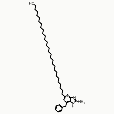 Nc1nc2nc(CCCCCCCCCCCCCCCCCCCCCCCCCCCCCCO)nc(Cc3ccccc3)c2[nH]1